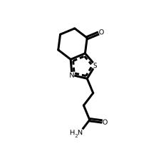 NC(=O)CCc1nc2c(s1)C(=O)CCC2